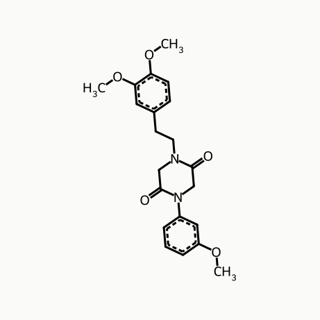 COc1cccc(N2CC(=O)N(CCc3ccc(OC)c(OC)c3)CC2=O)c1